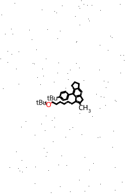 CC1=C(CCCCCCOC(C)(C)C)c2c(cc3c(c2-c2ccc(C(C)(C)C)cc2)CCC3)C1